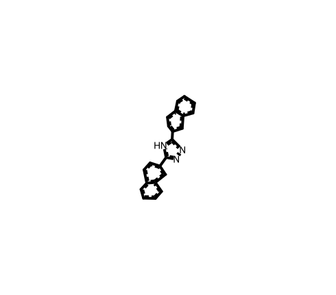 c1ccc2cc(-c3nnc(-c4ccc5ccccc5c4)[nH]3)ccc2c1